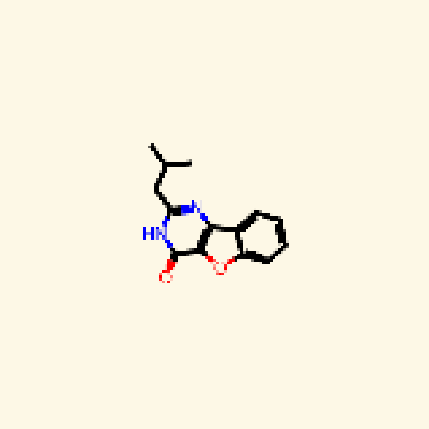 CC(C)Cc1nc2c(oc3ccccc32)c(=O)[nH]1